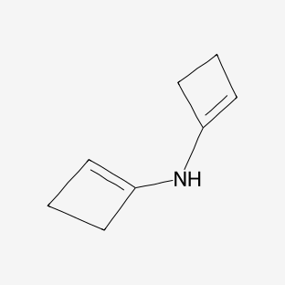 C1=C(NC2=CCC2)CC1